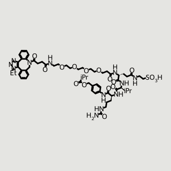 CCn1nnc2c1-c1ccccc1CN(C(=O)CCC(=O)NCCOCCOCCOCCOCCC(=O)N[C@H](CCC(=O)NCCS(=O)(=O)O)C(=O)N[C@H](C(=O)N[C@@H](CCCNC(N)=O)C(=O)Nc1ccc(COC(=O)C(C)C)cc1)C(C)C)c1ccccc1-2